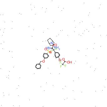 NC1CC2CCC(C1)N2C(=O)[C@H](NS(=O)(=O)c1ccc(OCc2ccccc2)cc1)C(F)(F)c1ccc(Br)cc1.O=C(O)C(F)(F)F